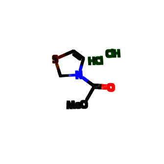 COC(=O)N1C=CSC1.Cl.Cl